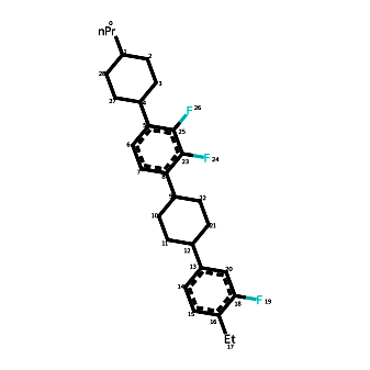 CCCC1CCC(c2ccc(C3CCC(c4ccc(CC)c(F)c4)CC3)c(F)c2F)CC1